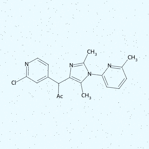 CC(=O)C(c1ccnc(Cl)c1)c1nc(C)n(-c2cccc(C)n2)c1C